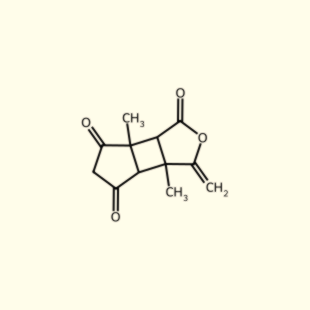 C=C1OC(=O)C2C1(C)C1C(=O)CC(=O)C12C